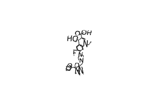 CCN1C=C(C(=O)O)C(O)c2cc(F)c(N3CCN(Cc4nnc(-c5ccco5)o4)CC3)cc21